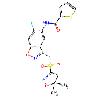 CC1(C)CC(S(=O)(=O)Cc2noc3cc(F)c(NC(=O)c4cccs4)cc23)=NO1